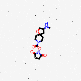 CNC1COC2(CCN(C(=O)ON3C(=O)CCC3=O)CC2)C1